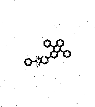 C=C(/C=C\c1c(C)nc(-c2ccccc2)n1C)c1ccc2c(-c3ccccc3)c3ccccc3c(-c3ccccc3)c2c1